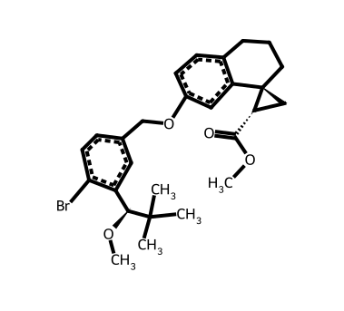 COC(=O)[C@H]1C[C@@]12CCCc1ccc(OCc3ccc(Br)c([C@H](OC)C(C)(C)C)c3)cc12